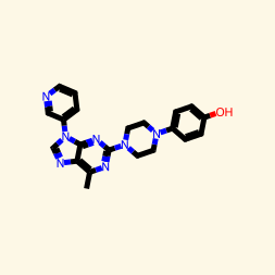 Cc1nc(N2CCN(c3ccc(O)cc3)CC2)nc2c1ncn2-c1cccnc1